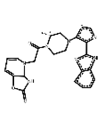 C[C@@H]1CN(c2scnc2-c2nc3ccccc3[nH]2)CCN1C(=O)CN1C=CC=C2OC(=O)NC21